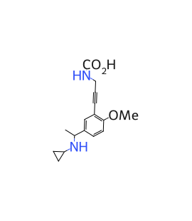 COc1ccc(C(C)NC2CC2)cc1C#CCNC(=O)O